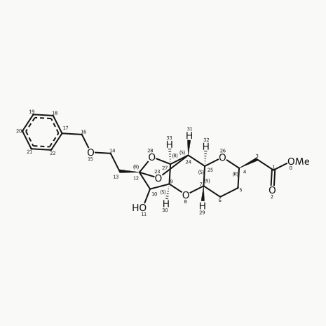 COC(=O)C[C@H]1CC[C@@H]2O[C@H]3C(O)[C@@]4(CCOCc5ccccc5)O[C@@H]([C@H]2O1)[C@@H]3O4